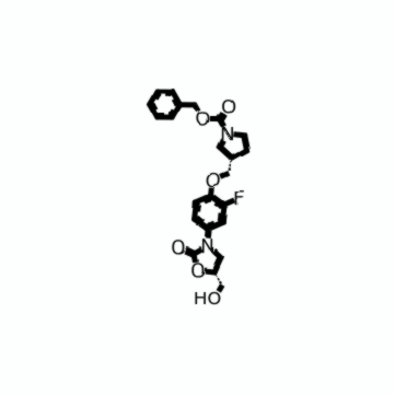 O=C(OCc1ccccc1)N1CC[C@H](COc2ccc(N3C[C@H](CO)OC3=O)cc2F)C1